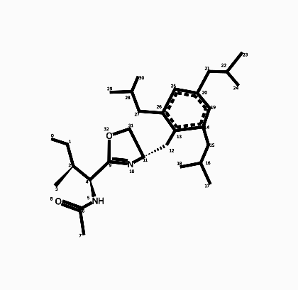 CC[C@H](C)[C@H](NC(C)=O)C1=N[C@@H](Cc2c(CC(C)C)cc(CC(C)C)cc2CC(C)C)CO1